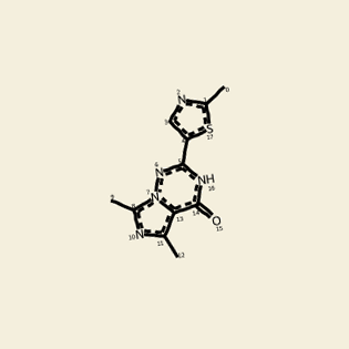 Cc1ncc(-c2nn3c(C)nc(C)c3c(=O)[nH]2)s1